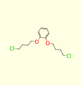 ClCCCCOc1ccccc1OCCCCCl